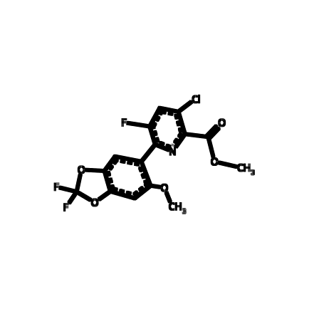 COC(=O)c1nc(-c2cc3c(cc2OC)OC(F)(F)O3)c(F)cc1Cl